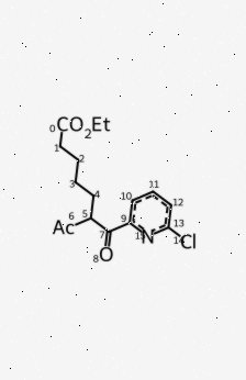 CCOC(=O)CCCCC(C(C)=O)C(=O)c1cccc(Cl)n1